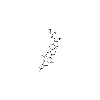 CC(C)=CC(=O)C[C@H]1[C@H](O)[C@@]2(CO)C(CC1(C)C)C1=CCC3[C@@]4(C)CC[C@H](O)[C@](C)(COC(=O)C=C(C)C)C4CC[C@@]3(C)[C@]1(C)C[C@H]2O